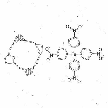 C1=Cc2cc3ccc(cc4nc(cc5ccc(cc1n2)[nH]5)C=C4)[nH]3.O=[N+]([O-])c1cc[c]([Fe]([c]2ccc([N+](=O)[O-])cc2)([c]2ccc([N+](=O)[O-])cc2)[c]2ccc([N+](=O)[O-])cc2)cc1